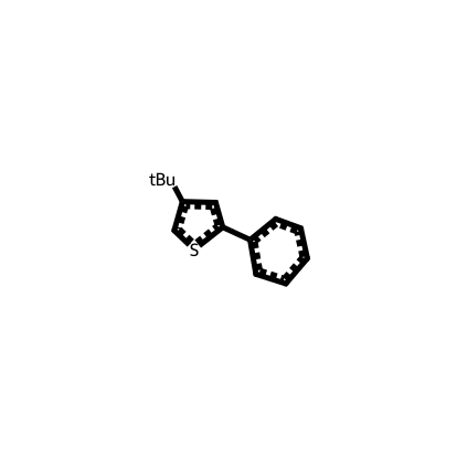 CC(C)(C)c1csc(-c2ccccc2)c1